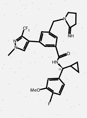 COc1cc([C@@H](NC(=O)c2cc(CN3CCCC3=N)cc(-c3cn(C)nc3C(F)(F)F)c2)C2CC2)ccc1F